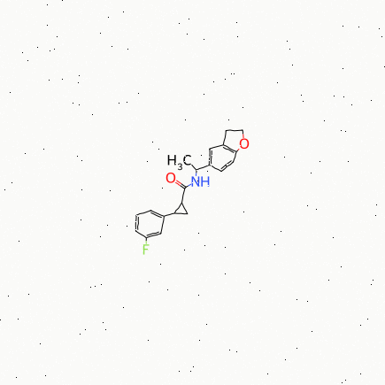 CC(NC(=O)C1CC1c1cccc(F)c1)c1ccc2c(c1)CCO2